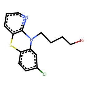 Clc1ccc2c(c1)N(CCCCBr)c1ncccc1S2